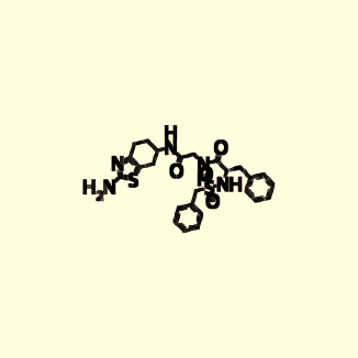 Nc1nc2c(s1)CC(NC(=O)CNC(=O)[C@@H](Cc1ccccc1)NS(=O)(=O)Cc1ccccc1)CC2